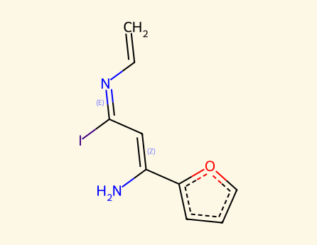 C=C/N=C(I)\C=C(/N)c1ccco1